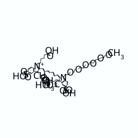 COCCOCCOCCOCCOCCOCCN1/C(=C/C=C/C=C/C=C/C2=[N+](CCCCCC(=O)O)c3ccc(S(=O)(=O)O)cc3C2(C)CCOC)C(C)(CCCS(=O)(=O)O)c2cc(S(=O)(=O)O)ccc21